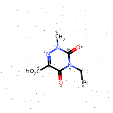 CC(C)Cn1c(=O)c(C(=O)O)nn(C)c1=O